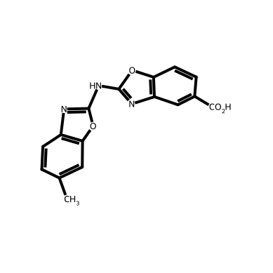 Cc1ccc2nc(Nc3nc4cc(C(=O)O)ccc4o3)oc2c1